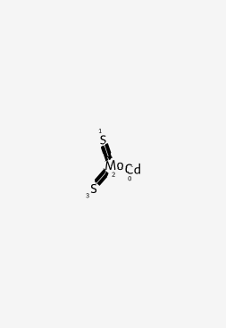 [Cd].[S]=[Mo]=[S]